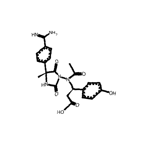 CC(=O)N([C@H](CC(=O)O)c1ccc(O)cc1)N1C(=O)N[C@](C)(c2ccc(C(=N)N)cc2)C1=O